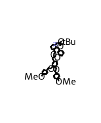 COc1ccc(COc2ccc(CC(=O)OCC3=C([CH]c4ccccc4)/C(=C\C(=O)OC(C)(C)C)CC=C3)cc2OCc2ccc(OC)cc2)cc1